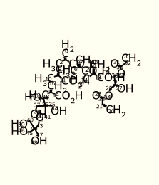 C=C(C)C(=O)O.C=C(C)C(=O)O.C=C(C)C(=O)O.C=C(C)C(=O)O.C=C(C)C(=O)O.C=CC(=O)OCC(O)COC(=O)C=C.OCC(CO)(CO)COCC(CO)(CO)CO